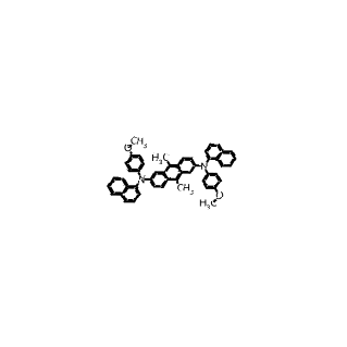 COc1ccc(N(c2ccc3c(C)c4cc(N(c5ccc(OC)cc5)c5cccc6ccccc56)ccc4c(C)c3c2)c2cccc3ccccc23)cc1